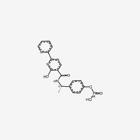 C[C@H](NC(=O)c1cnc(-c2ccccn2)nc1O)c1ccc(O[PH](=O)O)cc1